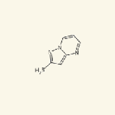 Bc1cc2ncccn2n1